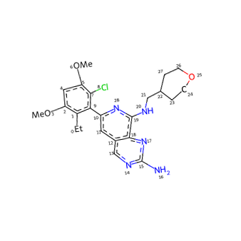 CCc1c(OC)cc(OC)c(Cl)c1-c1cc2cnc(N)nc2c(NCC2CCOCC2)n1